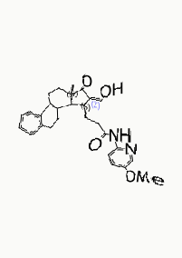 COc1ccc(NC(=O)CC[C@@H]2/C(=C/O)C(=O)[C@@]3(C)CCC4c5ccccc5CCC4C23)nc1